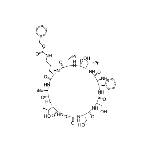 CC[C@H](C)[C@@H]1NC(=O)[C@@H](CCCNC(=O)OCc2ccccc2)NC(=O)[C@H](CC(C)C)NC(=O)[C@H]([C@H](O)C(C)C)NC(=O)[C@@H](N)[C@@H](c2ccccc2)NC(=O)C(CO)NC(=O)[C@H](CO)NC(=O)CNC(=O)[C@H]([C@H](C)O)NC1=O